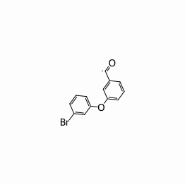 O=[C]c1cccc(Oc2cccc(Br)c2)c1